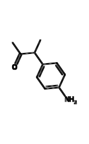 CC(=O)C(C)c1ccc(N)cc1